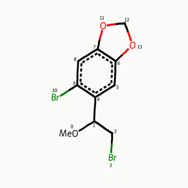 COC(CBr)c1cc2c(cc1Br)OCO2